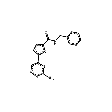 Nc1nccc(-c2ccc(C(=O)NCc3ccccc3)s2)n1